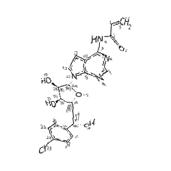 C=CC(=O)Nc1ncnc2c1ccn2[C@@H]1O[C@H]([C@H](O)c2ccc(Cl)cc2)[C@@H](O)[C@H]1O